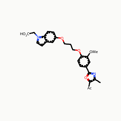 COc1cc(-c2nc(C)c(C(C)=O)o2)ccc1OCCCOc1ccc2c(ccn2CC(=O)O)c1